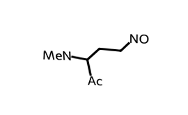 CNC(CCN=O)C(C)=O